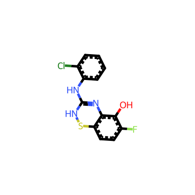 Oc1c(F)ccc2c1N=C(Nc1ccccc1Cl)NS2